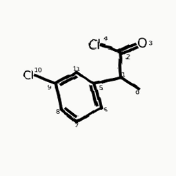 CC(C(=O)Cl)c1cccc(Cl)c1